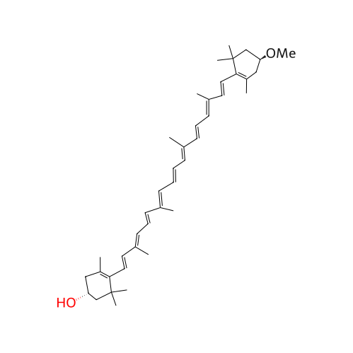 CO[C@H]1CC(C)=C(/C=C/C(C)=C/C=C/C(C)=C/C=C/C=C(C)/C=C/C=C(C)/C=C/C2=C(C)C[C@@H](O)CC2(C)C)C(C)(C)C1